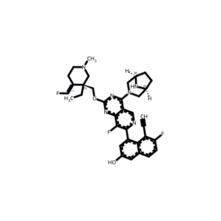 C#Cc1c(F)ccc2cc(O)cc(-c3ncc4c(N5C[C@H]6CC[C@@H](C5)N6)nc(OC[C@]5(CC)CN(C)CC/C5=C\F)nc4c3F)c12